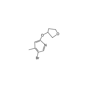 Cc1cc(OC2CCOC2)ncc1Br